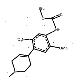 COc1cc(C2=CCN(C)CC2)c([N+](=O)[O-])cc1NC(=O)OC(C)(C)C